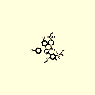 CCOc1cc(C)c(S(=O)(=O)N(C)OC)cc1C1=N[C@@H](c2ccc(Cl)cc2)[C@@H](c2ccc(Cl)cc2)N1C(=O)N1CCN(S(=O)(=O)CC)CC1